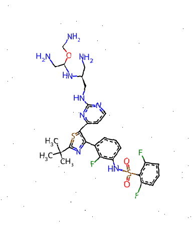 CC(C)(C)c1nc(-c2cccc(NS(=O)(=O)c3c(F)cccc3F)c2F)c(-c2ccnc(NC[C@H](CN)NC(CN)OCN)n2)s1